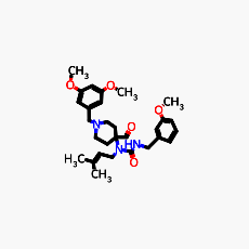 COc1cccc(CNC(=O)N(CC=C(C)C)C2(C=O)CCN(Cc3cc(OC)cc(OC)c3)CC2)c1